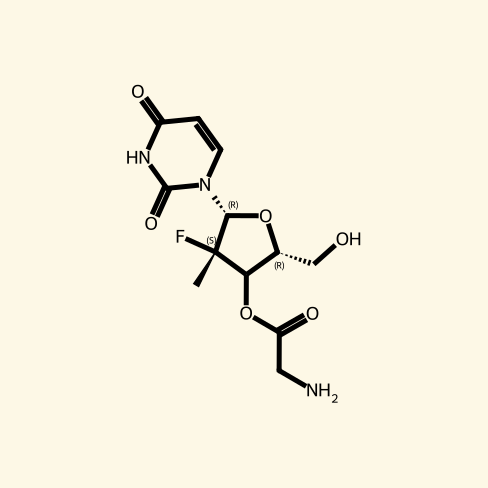 C[C@]1(F)C(OC(=O)CN)[C@@H](CO)O[C@H]1n1ccc(=O)[nH]c1=O